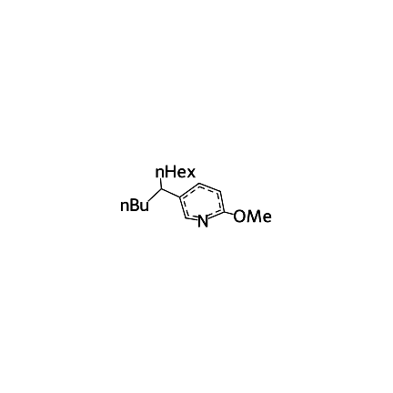 CCCCCCC(CCCC)c1ccc(OC)nc1